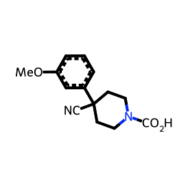 COc1cccc(C2(C#N)CCN(C(=O)O)CC2)c1